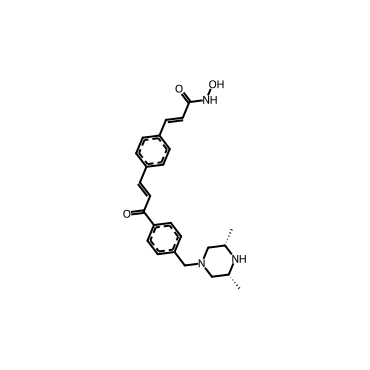 C[C@@H]1CN(Cc2ccc(C(=O)C=Cc3ccc(C=CC(=O)NO)cc3)cc2)C[C@H](C)N1